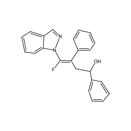 OC(CC(=C(F)n1ncc2ccccc21)c1ccccc1)c1ccccc1